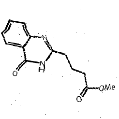 COC(=O)CCCc1nc2ccccc2c(=O)[nH]1